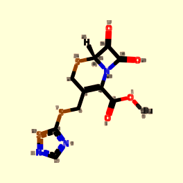 CC(C)(C)OC(=O)C1=C(CSc2ncns2)CS[C@@H]2C(=O)C(=O)N12